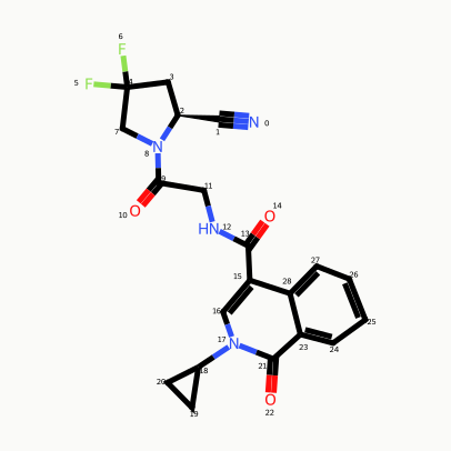 N#C[C@@H]1CC(F)(F)CN1C(=O)CNC(=O)c1cn(C2CC2)c(=O)c2ccccc12